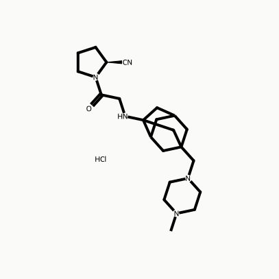 CN1CCN(CC23CC4CC(C2)C(NCC(=O)N2CCC[C@H]2C#N)(C4)C3)CC1.Cl